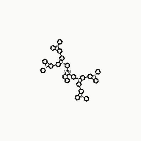 c1ccc(-n2c3ccccc3c3cc(-c4ccc5c(c4)c4cc(-c6ccc7c(c6)c6ccccc6n7-c6ccccc6)ccc4n5-c4ccc(-c5nc(-c6cccc(-n7c8ccc(-c9ccc%10c(c9)c9ccccc9n%10-c9ccccc9)cc8c8cc(-c9ccc%10c(c9)c9ccccc9n%10-c9ccccc9)ccc87)c6)nc6ccc7ccccc7c56)cc4)ccc32)cc1